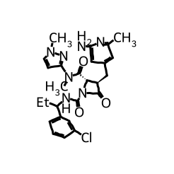 CCC(NC(=O)N1C(=O)[C@H](Cc2cc(C)nc(N)c2)[C@H]1C(=O)N(C)c1ccn(C)n1)c1cccc(Cl)c1